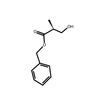 C[C@@H](CO)C(=O)OCc1ccccc1